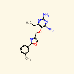 CCc1nc(N)nc(N)c1OCc1coc(-c2cccc(C)c2)n1